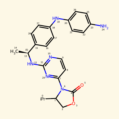 CC(C)C1COC(=O)N1c1ccnc(N[C@@H](C)c2ccc(Nc3ccc(N)cc3)cc2)n1